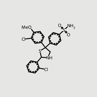 COc1ccc(C2(c3ccc(S(N)(=O)=O)cc3)CNC(c3ccccc3Cl)S2)cc1Cl